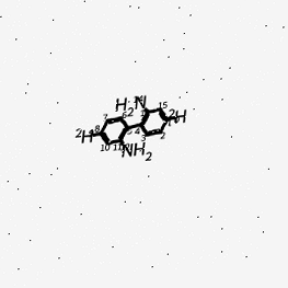 [2H]c1ccc(-c2ccc([2H])cc2N)c(N)c1